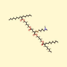 CCCCCCCCC(CCCCCC)C(=O)OCCCCCOC(=O)CCC(SSCCCCN(C)C)C(=O)OCCCCCOC(=O)C(CCCCCC)CCCCCCCC